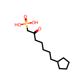 O=C(CCCCCC1CCCC1)CP(=O)(O)O